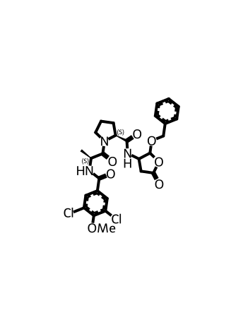 COc1c(Cl)cc(C(=O)N[C@@H](C)C(=O)N2CCC[C@H]2C(=O)NC2CC(=O)OC2OCc2ccccc2)cc1Cl